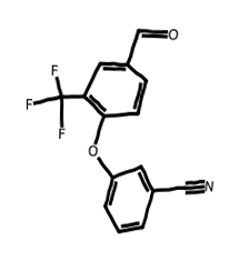 N#Cc1cccc(Oc2ccc(C=O)cc2C(F)(F)F)c1